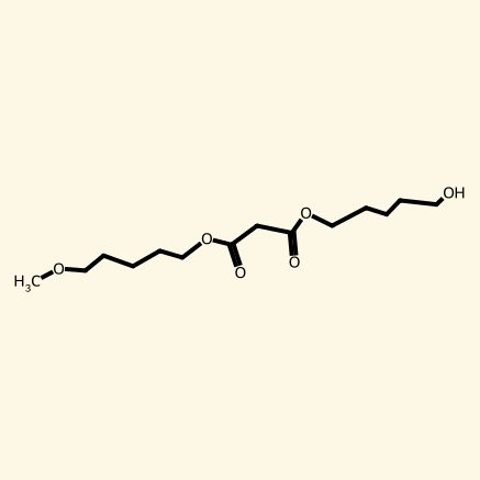 COCCCCCOC(=O)CC(=O)OCCCCCO